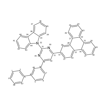 c1ccc(-c2cccc(-c3cc(-c4ccc5c6ccccc6c6ccccc6c5c4)nc(-n4c5ccccc5c5ccccc54)n3)c2)cc1